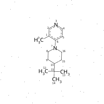 Cc1cnccc1N1CCC(C(C)(C)C)CC1